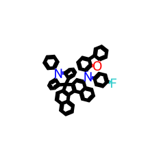 Fc1ccc(N(c2cc3c(c4ccccc24)-c2c(ccc4ccccc24)C32c3ccccc3N(c3ccccc3)c3ccccc32)c2cccc3c2oc2ccccc23)cc1